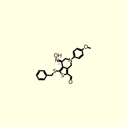 COc1ccc(N2C/C(=N\O)c3c(SCc4ccccc4)sc(C=O)c3C2)cc1